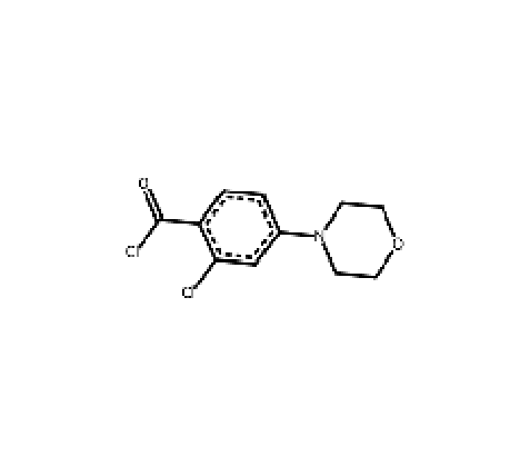 O=C(Cl)c1ccc(N2CCOCC2)cc1Cl